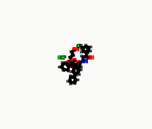 Cl.O=C(NS(=O)(=O)CCCO)C1(CCNC[C@H](O)c2cccc(Cl)c2)C=CC(c2ccccc2)=CC1OC1CCCCC1